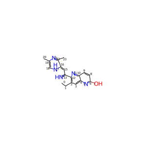 CCc1cc2nc(O)ccc2nc1C(=N)/C=C1\NC=C(C)N=C1C